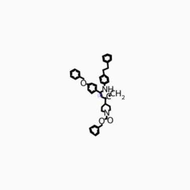 C=C=C(/C=C(\Nc1ccc(CCc2ccccc2)cc1)c1ccc(OCc2ccccc2)cc1)C1CCN(C(=O)OCc2ccccc2)CC1